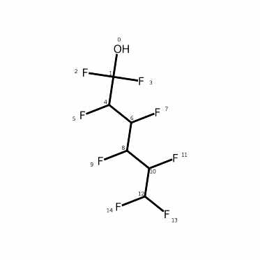 OC(F)(F)C(F)C(F)C(F)C(F)C(F)F